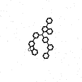 c1ccc(-c2cccc(-c3ccc(C(c4cccc(-c5ccc6oc7ccccc7c6c5)c4)c4ccc(-c5ccccc5)c5ccccc45)cc3)c2)cc1